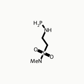 CNS(=O)(=O)CCNP